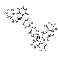 c1ccc2c(N(c3ccc(-c4ccc(-n5c6ccccc6c6c7ccccc7ccc65)cc4)cc3)c3ccc4oc5ccccc5c4c3)cccc2c1